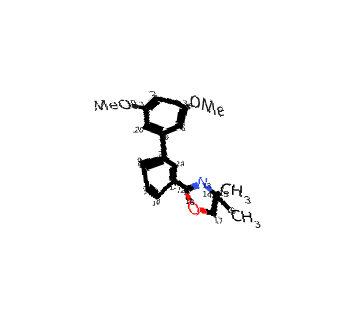 COc1cc(OC)cc(-c2cccc(C3=NC(C)(C)CO3)c2)c1